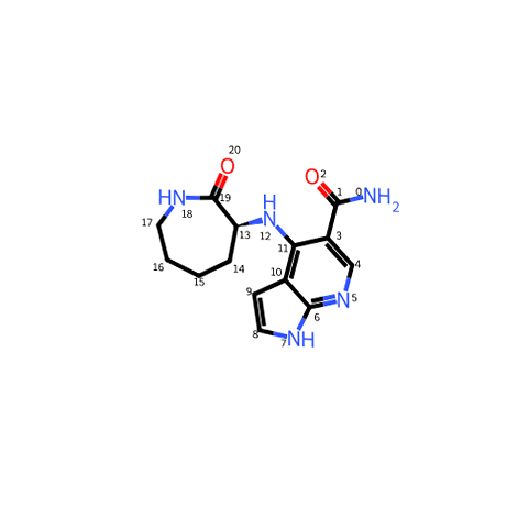 NC(=O)c1cnc2[nH]ccc2c1N[C@H]1CCCCNC1=O